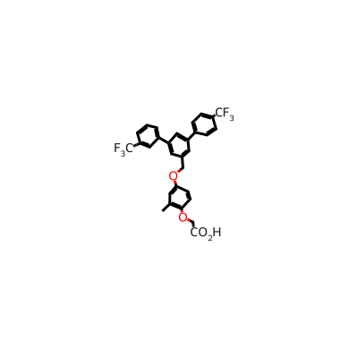 Cc1cc(OCc2cc(-c3ccc(C(F)(F)F)cc3)cc(-c3cccc(C(F)(F)F)c3)c2)ccc1OCC(=O)O